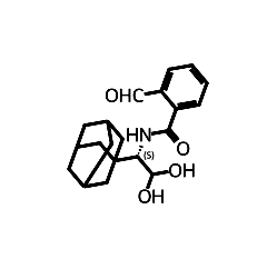 O=Cc1ccccc1C(=O)N[C@H](C(O)O)C12CC3CC(CC(C3)C1)C2